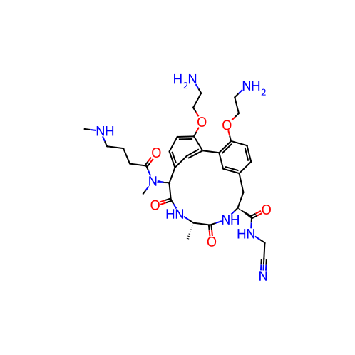 CNCCCC(=O)N(C)[C@@H]1C(=O)N[C@@H](C)C(=O)N[C@H](C(=O)NCC#N)Cc2ccc(OCCN)c(c2)-c2cc1ccc2OCCN